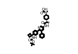 CN(C(=O)O)[C@H]1CC[C@H](C(F)C(=O)Nc2cnc(-c3ccc(C4(NC(=O)OC(C)(C)C)CCC4)cc3)c(-c3ccccc3)c2)CC1